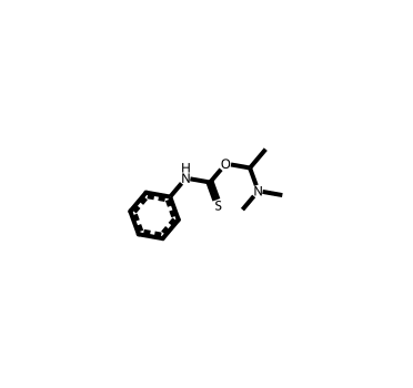 CC(OC(=S)Nc1ccccc1)N(C)C